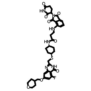 O=C1CCC(N2C(=O)c3cccc(NCCC(=O)N[C@H]4CC[C@H](SCc5nc6cc(OCC7CCOCC7)cc(F)c6c(=O)[nH]5)CC4)c3C2=O)C(=O)N1